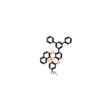 Cc1ccc2c(c1)Oc1ccc(-c3cc(-c4ccccc4)cc(-c4ccccc4)c3)c3c1P2(=O)c1c(ccc2ccccc12)O3